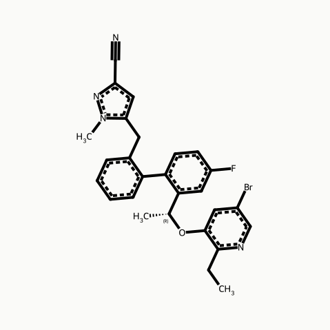 CCc1ncc(Br)cc1O[C@H](C)c1cc(F)ccc1-c1ccccc1Cc1cc(C#N)nn1C